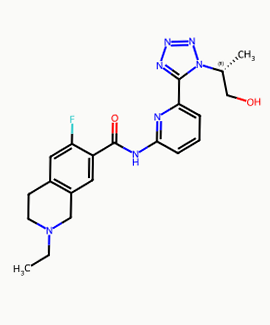 CCN1CCc2cc(F)c(C(=O)Nc3cccc(-c4nnnn4[C@H](C)CO)n3)cc2C1